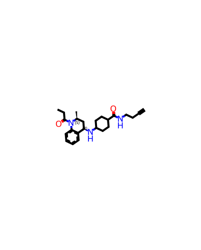 C#CCCNC(=O)C1CCC(N[C@@H]2C[C@H](C)N(C(=O)CC)c3ccccc32)CC1